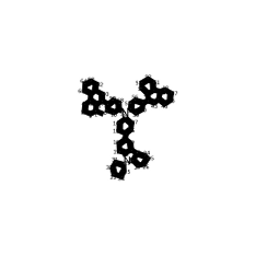 CC1CC=Cc2c1c(-c1ccc(N(c3ccc(-c4ccc5c(c4)c4ccccc4n5-c4ccccc4)cc3)c3ccc(-c4cc5ccccc5c5ccccc45)cc3)cc1)cc1ccccc21